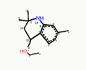 CCO.Cc1ccc2c(c1)NC(C)(C)CC2C